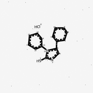 Cl.Sc1ncc(-c2ccccc2)n1-c1ccccc1